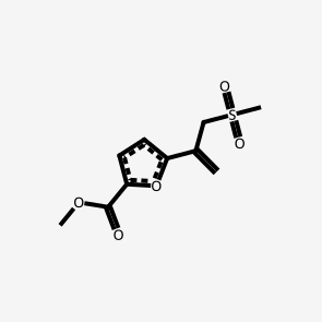 C=C(CS(C)(=O)=O)c1ccc(C(=O)OC)o1